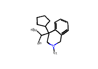 CCCCC(CCC)C1(C2CCCC2)CN(CC)Cc2ccccc21